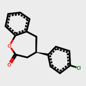 O=C1C[C@H](c2ccc(Cl)cc2)Cc2ccccc2O1